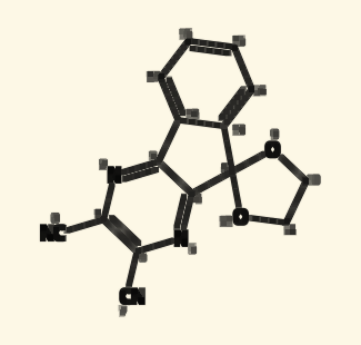 N#Cc1nc2c(nc1C#N)C1(OCCO1)c1ccccc1-2